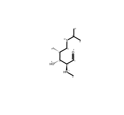 CN[C@H]([C]=O)[C@H](O)[C@H](C)CSC(C)C